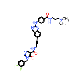 CN(C)CCCNC(=O)c1ccc(Nc2ncc3cc(C#CCNC(=O)c4cncn(Cc5ccc(F)c(F)c5)c4=O)ccc3n2)cc1